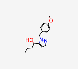 CCCC(O)c1ccnn1Cc1ccc(OC)cc1